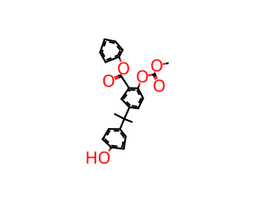 COC(=O)Oc1ccc(C(C)(C)c2ccc(O)cc2)cc1C(=O)Oc1ccccc1